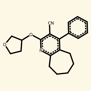 N#Cc1c(OC2CCOC2)nc2c(c1-c1ccccc1)CCCCC2